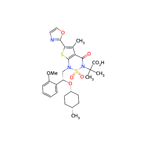 COc1ccccc1[C@H](CN1c2sc(-c3ncco3)c(C)c2C(=O)N(C(C)(C)C(=O)O)S1(=O)=O)O[C@H]1CC[C@@H](C)CC1